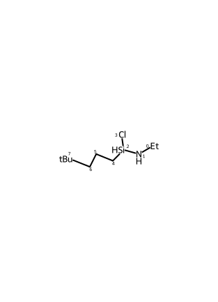 CCN[SiH](Cl)CCCC(C)(C)C